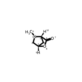 CN1C[C@@H]2C[C@H]1C(=O)O2